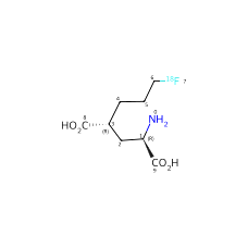 N[C@H](C[C@@H](CCC[18F])C(=O)O)C(=O)O